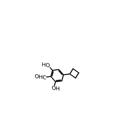 O=Cc1c(O)cc(C2CCC2)cc1O